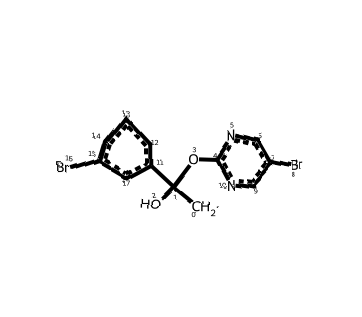 [CH2]C(O)(Oc1ncc(Br)cn1)c1cccc(Br)c1